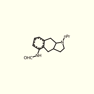 CCCN1CCC2Cc3c(cccc3NC=O)CC21